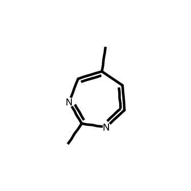 CC1=CN=C(C)N=C=C1